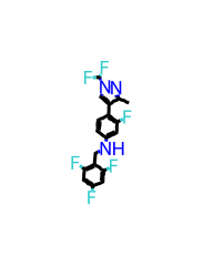 Cc1nn(C(F)F)cc1-c1ccc(NCc2c(F)cc(F)cc2F)cc1F